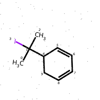 CC(C)(I)C1C=CC=CC1